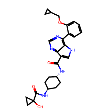 O=C(N[C@H]1CC[C@H](NC(=O)C2(O)CC2)CC1)c1c[nH]c2c(-c3ccccc3OCC3CC3)ncnc12